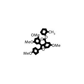 COc1ccc(-c2oc3cc(OC)cc(C(=O)Oc4ccccc4C)c3c2-c2cc(OC)cc(OC)c2)cc1